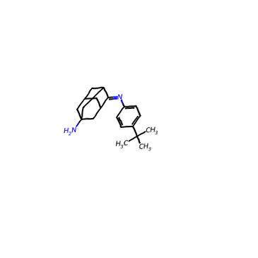 CC(C)(C)c1ccc(N=C2C3CC4CC2CC(N)(C4)C3)cc1